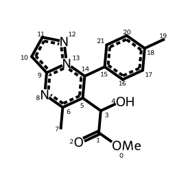 COC(=O)C(O)c1c(C)nc2ccnn2c1-c1ccc(C)cc1